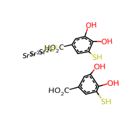 O=C(O)c1cc(O)c(O)c(S)c1.O=C(O)c1cc(O)c(O)c(S)c1.[S-2].[S-2].[Sr+2].[Sr+2].[Sr+2]